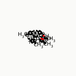 COc1ccc(CN(Cc2ccc(OC)cc2)c2ncc(Oc3cc(SC)ncc3C(C)C)c(N(Cc3ccc(OC)cc3)Cc3ccc(OC)cc3)n2)cc1